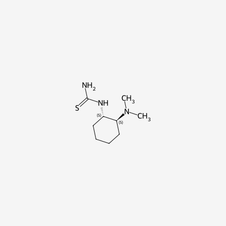 CN(C)[C@H]1CCCC[C@@H]1NC(N)=S